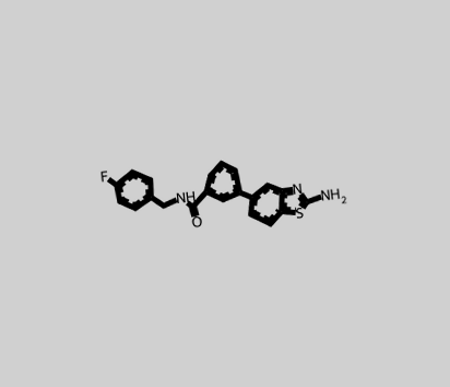 Nc1nc2cc(-c3cccc(C(=O)NCc4ccc(F)cc4)c3)ccc2s1